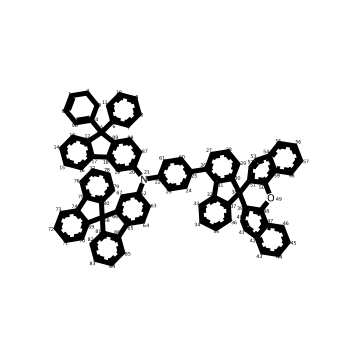 C1=CCCC(C2(c3ccccc3)c3ccccc3-c3cc(N(c4ccc(-c5cccc6c5-c5ccccc5C65c6ccc7ccccc7c6Oc6c5ccc5ccccc65)cc4)c4ccc5c(c4)C4(c6ccccc6-c6ccccc64)c4ccccc4-5)ccc32)=C1